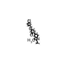 Cn1c(C2CC2)nc2ccc(-n3ccc(OCc4ccc(Cl)s4)cc3=O)cc21